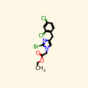 CCOC(=O)Cn1cc(Cc2ccc(Cl)cc2Cl)nc1Br